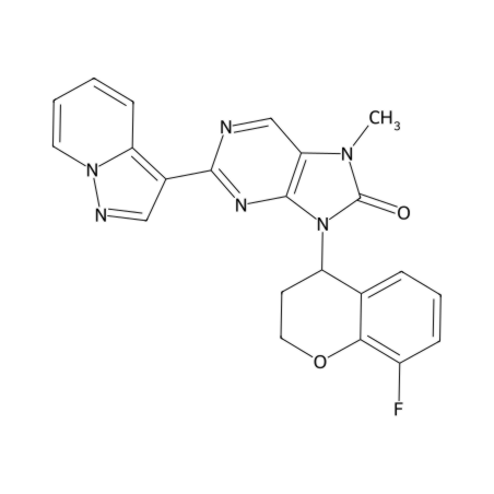 Cn1c(=O)n(C2CCOc3c(F)cccc32)c2nc(-c3cnn4ccccc34)ncc21